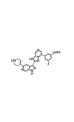 COc1cc(F)cc(-c2cncc3[nH]c(-c4n[nH]c5cnc(C6=CCNCC6)cc45)nc23)c1